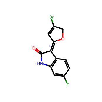 O=C1Nc2cc(F)ccc2/C1=C1/C=C(Br)CO1